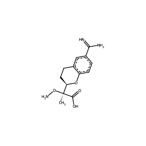 C[C@@](ON)(C(=O)O)[C@H]1CCc2cc(C(=N)N)ccc2O1